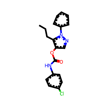 CCCc1c(OC(=O)Nc2ccc(Cl)cc2)cnn1-c1ccccc1